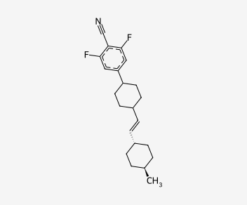 C[C@H]1CC[C@H](/C=C/C2CCC(c3cc(F)c(C#N)c(F)c3)CC2)CC1